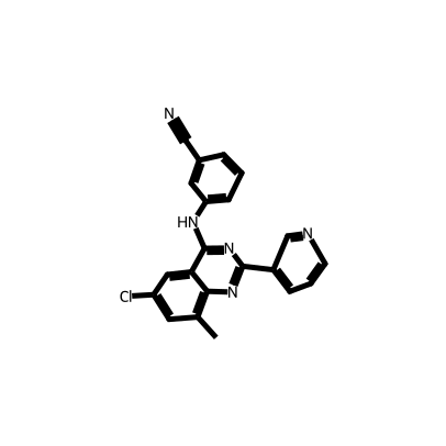 Cc1cc(Cl)cc2c(Nc3cccc(C#N)c3)nc(-c3cccnc3)nc12